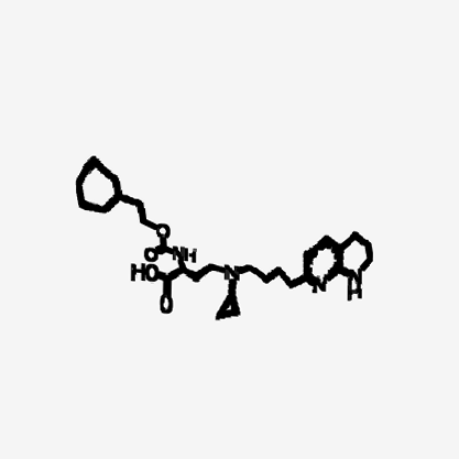 O=C(NC(CCN(CCCCc1ccc2c(n1)NCCC2)C1CC1)C(=O)O)OCCC1CCCCC1